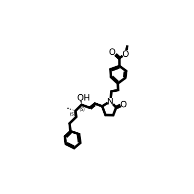 COC(=O)c1ccc(CCN2C(=O)CCC2C=C[C@@H](O)[C@@H](C)CCc2ccccc2)cc1